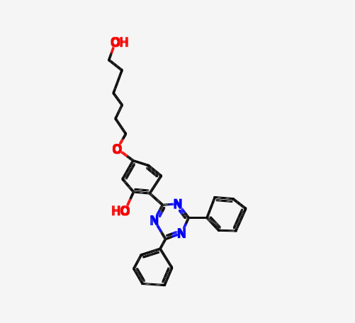 OCCCCCCOc1ccc(-c2nc(-c3ccccc3)nc(-c3ccccc3)n2)c(O)c1